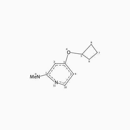 CNc1cc(OC2CCC2)ccn1